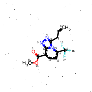 C=CCc1nnc2c(C(=O)OC)ccc(C(F)(F)F)n12